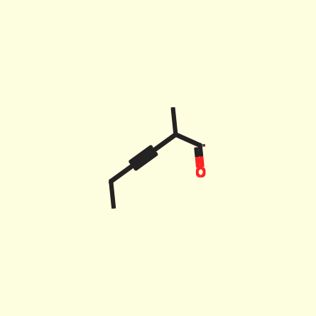 CCC#CC(C)[C]=O